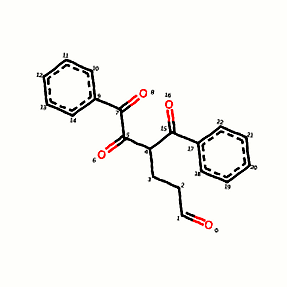 O=CCCC(C(=O)C(=O)c1ccccc1)C(=O)c1ccccc1